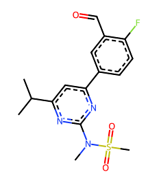 CC(C)c1cc(-c2ccc(F)c(C=O)c2)nc(N(C)S(C)(=O)=O)n1